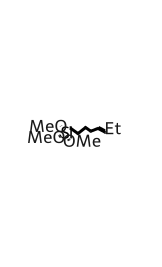 CCC=CCCCC[Si](OC)(OC)OC